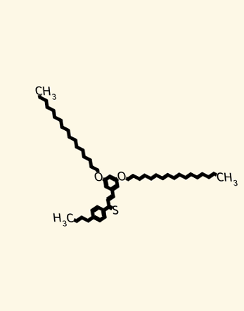 CCCCCCCCCCCCCCCCCOc1cc(C=CC(=S)c2ccc(CCCC)cc2)cc(OCCCCCCCCCCCCCCCCC)c1